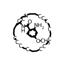 COc1ccc(C(=O)NC2CN3CCCCCCCCCCCCCCCCCCCCCC2CC3)c(N)c1